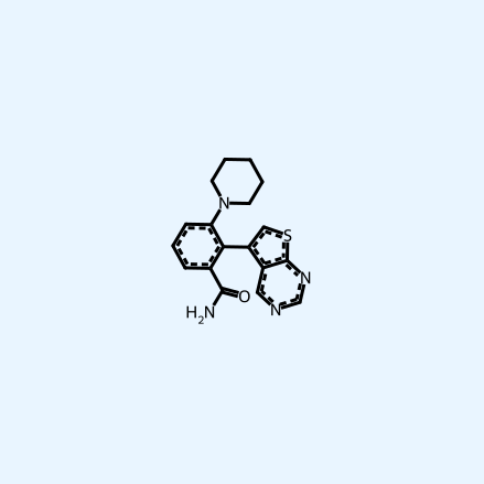 NC(=O)c1cccc(N2CCCCC2)c1-c1csc2ncncc12